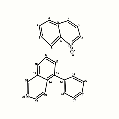 [O-][n+]1cccc2ccccc21.c1ccc(-c2cccc3cnccc23)cc1